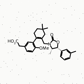 COc1ccc(CC(=O)O)cc1C1=C(CN2C(=O)O[C@H](c3cccc(C)c3)[C@@H]2C)CC(C)(C)CC1